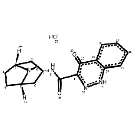 CN1[C@@H]2CC[C@H]1C[C@@H](NC(=O)c1n[nH]c3ccccc3c1=O)C2.Cl